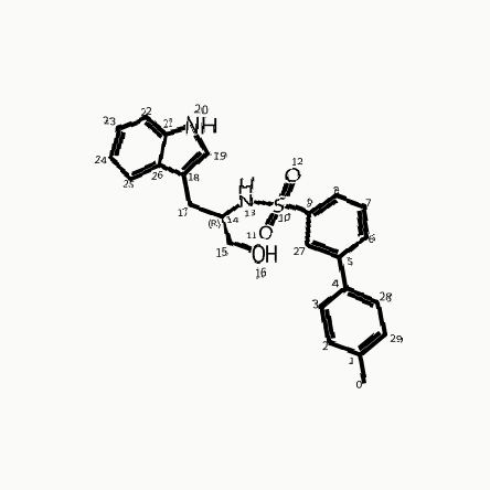 Cc1ccc(-c2cccc(S(=O)(=O)N[C@@H](CO)Cc3c[nH]c4ccccc34)c2)cc1